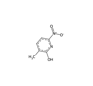 Cc1ccc([N+](=O)[O-])nc1O